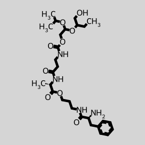 CCC(CO)OC(COC(=O)NCCC(=O)N[C@@H](C)C(=O)OCCCNC(=O)[C@@H](N)Cc1ccccc1)OC(C)C